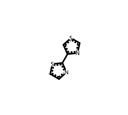 [c]1cnc(-c2cscn2)s1